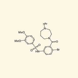 CCCN1CCCN(C(=O)c2cc(NS(=O)(=O)c3ccc(OC)c(OC)c3)ccc2Br)CC1